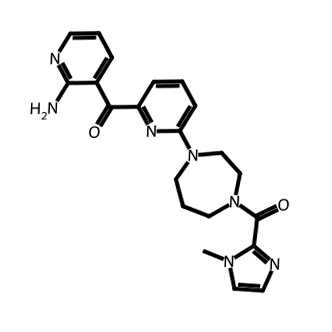 Cn1ccnc1C(=O)N1CCCN(c2cccc(C(=O)c3cccnc3N)n2)CC1